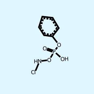 O=P(O)(ONCl)Oc1ccccc1